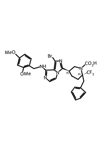 COc1ccc(CNc2nccn3c([C@@H]4CC[C@@](Cc5ccccc5)(C(F)(F)F)N(C(=O)O)C4)nc(Br)c23)c(OC)c1